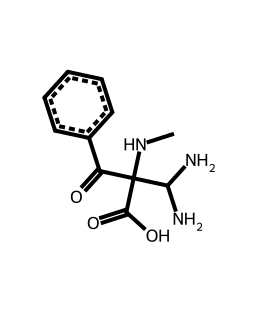 CNC(C(=O)O)(C(=O)c1ccccc1)C(N)N